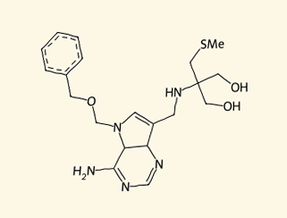 CSCC(CO)(CO)NCC1=CN(COCc2ccccc2)C2C(N)=NC=NC12